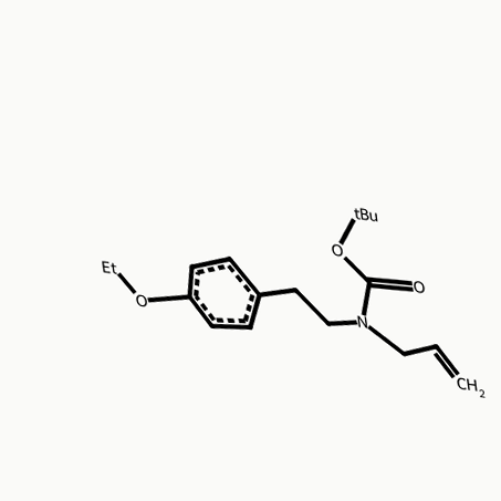 C=CCN(CCc1ccc(OCC)cc1)C(=O)OC(C)(C)C